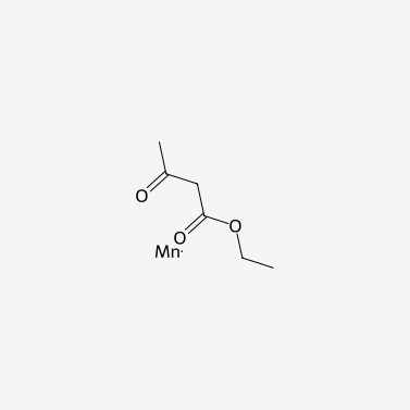 CCOC(=O)CC(C)=O.[Mn]